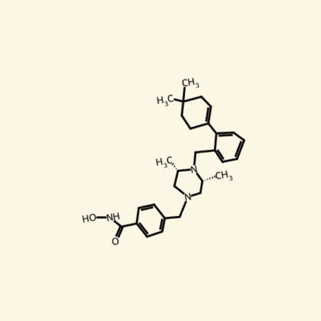 C[C@@H]1CN(Cc2ccc(C(=O)NO)cc2)C[C@H](C)N1Cc1ccccc1C1=CCC(C)(C)CC1